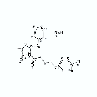 O=C(CCCCc1ccc(Cl)cc1)N1C(=O)OC[C@@H]1Cc1ccccc1.[NaH]